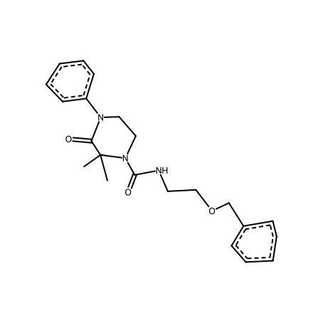 CC1(C)C(=O)N(c2ccccc2)CCN1C(=O)NCCOCc1ccccc1